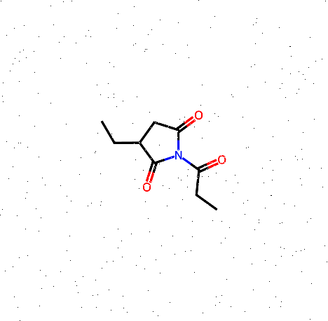 CCC(=O)N1C(=O)CC(CC)C1=O